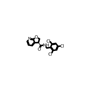 O=C(NCc1c(Cl)cc(Cl)cc1Cl)[C@@H]1COc2ncccc21